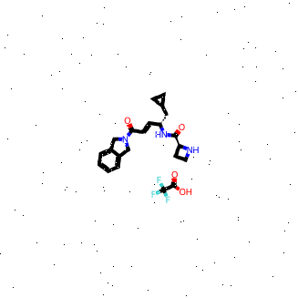 O=C(N[C@H](/C=C/C(=O)N1Cc2ccccc2C1)CC1CC1)[C@@H]1CCN1.O=C(O)C(F)(F)F